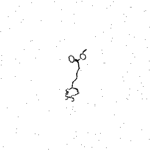 CCOC(=O)CCCCC1CCSSS1